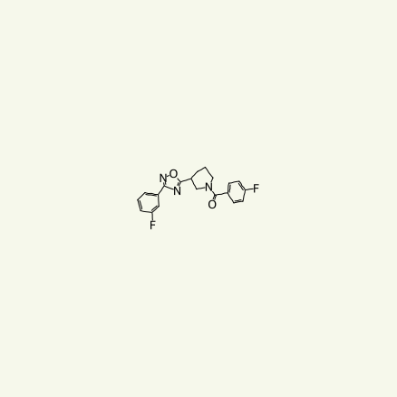 O=C(c1ccc(F)cc1)N1CCCC(c2nc(-c3cccc(F)c3)no2)C1